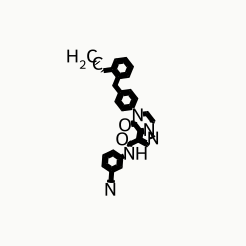 C=C=Cc1ccccc1Cc1ccc(N2CCn3ncc(C(=O)Nc4cccc(C#N)c4)c3C2=O)cc1